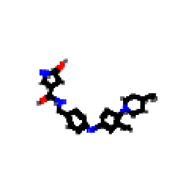 Cc1cc(Nc2ccc(CNC(=O)C3CNC(=O)C3)cc2)ccc1N1CCC(C(F)(F)F)CC1